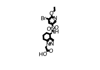 CCOc1ncc(S(=O)(=O)NC2CCCc3c2cnn3CC(=O)O)cc1Br